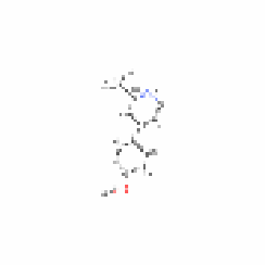 COc1ccc(-c2ccnc(C(C)C)c2)cc1